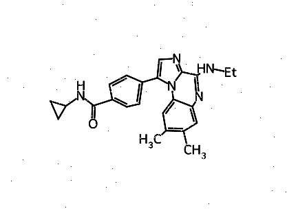 CCNc1nc2cc(C)c(C)cc2n2c(-c3ccc(C(=O)NC4CC4)cc3)cnc12